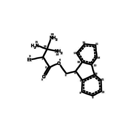 CCC(C(=O)OCC1c2ccccc2-c2ccccc21)C(N)(N)N